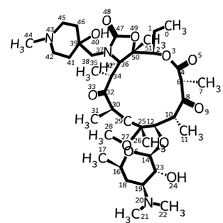 CC[C@H]1OC(=O)[C@H](C)C(=O)[C@H](C)[C@@H](O[C@@H]2O[C@H](C)C[C@H](N(C)C)[C@H]2O)[C@](C)(OC)C[C@@H](C)C(=O)[C@H](C)[C@H]2N(CC3(O)CCN(C)CC3)C(=O)O[C@]12C